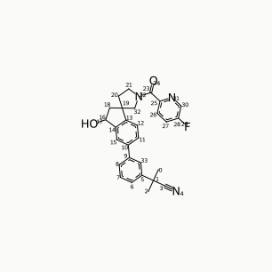 CC(C)(C#N)c1cccc(-c2ccc3c(c2)C(O)CC32CCN(C(=O)c3ccc(F)cn3)C2)c1